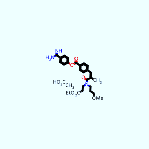 CC(=O)O.CCOC(=O)CCN(CCCOC)C(=O)C(C)=Cc1ccc(C(=O)Oc2ccc(C(=N)N)cc2)cc1